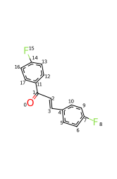 O=C(C=Cc1ccc(F)cc1)c1ccc(F)cc1